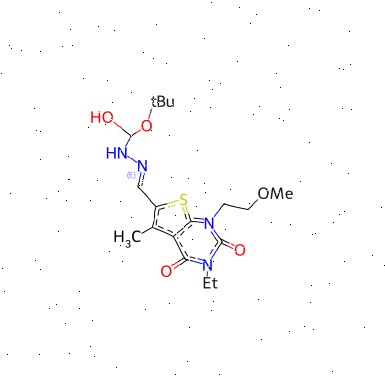 CCn1c(=O)c2c(C)c(/C=N/NC(O)OC(C)(C)C)sc2n(CCOC)c1=O